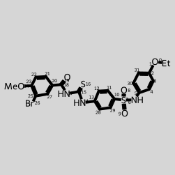 CCOc1ccc(NS(=O)(=O)c2ccc(NC(=S)NC(=O)c3ccc(OC)c(Br)c3)cc2)cc1